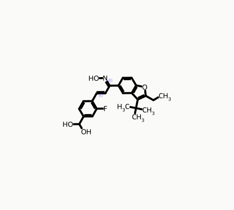 CCc1oc2ccc(C(/C=C/c3ccc(C(O)O)cc3F)=N/O)cc2c1C(C)(C)C